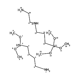 CO[SiH](CCCCN)OC.CO[Si](CCCNCCN)(OC)OC